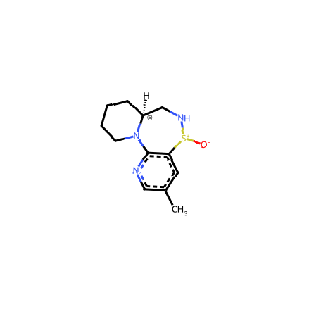 Cc1cnc2c(c1)[S+]([O-])NC[C@@H]1CCCCN21